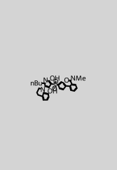 CCCCc1nc(O)c(S(=O)(=O)c2ccc(-c3ccccc3C(=O)NC)cc2)c(O)c1N1CCCc2ccccc21